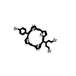 BrCCC(CCBr)c1c2nc(cc3ccc([nH]3)c(-c3ccc(Br)cc3)c3nc(cc4ccc1[nH]4)C=C3)C=C2